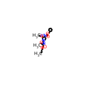 CCCCOC(=O)c1nc(N2CCC(NC(=O)OCc3ccccc3)C(OCC)C2)oc1C